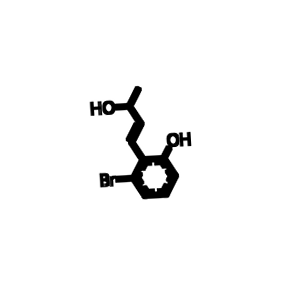 CC(O)C=Cc1c(O)cccc1Br